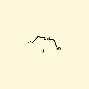 CCC[CH2][Ga+][CH2]CCC.[Cl-]